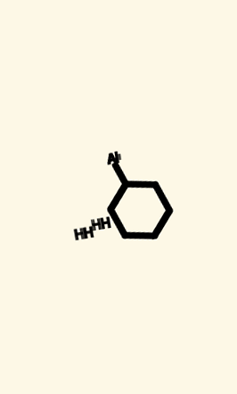 [Al][CH]1CCCCC1.[HH].[HH]